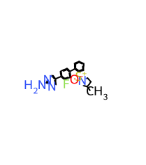 CC1CCN([S+]([O-])c2ccccc2-c2ccc(-c3cnc(N)nc3)c(F)c2)C1